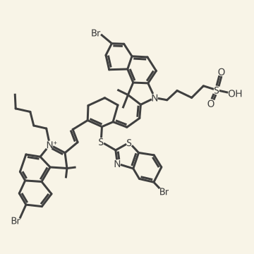 CCCCC[N+]1=C(/C=C/C2=C(Sc3nc4cc(Br)ccc4s3)C(=C/C=C3/N(CCCCS(=O)(=O)O)c4ccc5cc(Br)ccc5c4C3(C)C)/CCC2)C(C)(C)c2c1ccc1cc(Br)ccc21